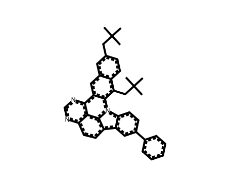 CC(C)(C)Cc1ccc2c(CC(C)(C)C)c3c(cc2c1)c1ncnc2ccc4c5cc(-c6ccccc6)ccc5n3c4c21